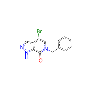 O=c1c2[nH]ncc2c(Br)cn1Cc1ccccc1